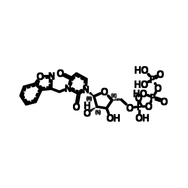 O=c1ccn([C@@H]2O[C@H](COP(=O)(O)OP(=O)(O)OP(=O)(O)O)C(O)[C@@H]2O)c(=O)n1Cc1noc2ccccc12